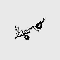 CCCC(CC(C#N)(c1ccccc1)C1CCN(CCCOc2ccc(C#N)cc2)CC1)OC(=O)NC